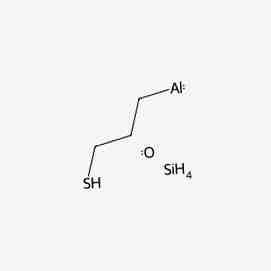 [Al][CH2]CCS.[O].[SiH4]